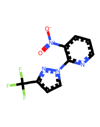 O=[N+]([O-])c1cccnc1-n1[c]cc(C(F)(F)F)n1